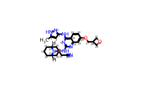 Cc1cc(Nc2nc(N[C@@H]3C[C@H]4CCC[C@@H](C3)N4CCC#N)nc3cc(OCC4COC4)ccc23)n[nH]1